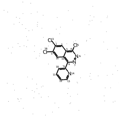 Clc1cc2c(Cl)nnc(-c3ccccn3)c2cc1Cl